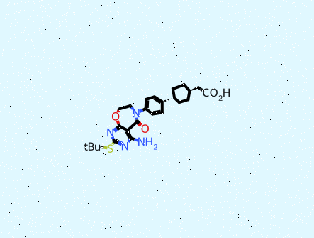 CC(C)(C)Sc1nc(N)c2c(n1)OCCN(c1ccc([C@H]3CC[C@H](CC(=O)O)CC3)cc1)C2=O